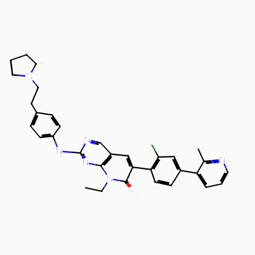 CCn1c(=O)c(-c2ccc(-c3cccnc3C)cc2Cl)cc2cnc(Nc3ccc(CCN4CCCC4)cc3)nc21